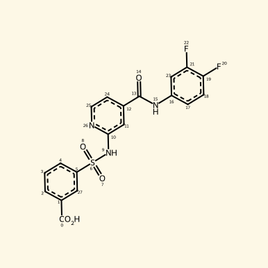 O=C(O)c1cccc(S(=O)(=O)Nc2cc(C(=O)Nc3ccc(F)c(F)c3)ccn2)c1